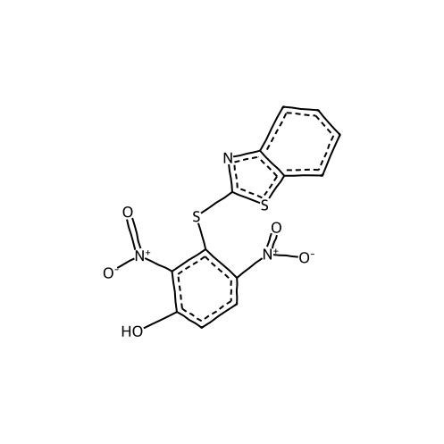 O=[N+]([O-])c1ccc(O)c([N+](=O)[O-])c1Sc1nc2ccccc2s1